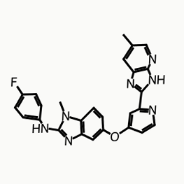 Cc1cnc2[nH]c(-c3cc(Oc4ccc5c(c4)nc(Nc4ccc(F)cc4)n5C)ccn3)nc2c1